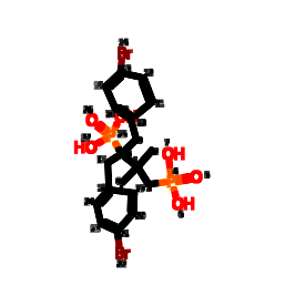 [CH2]C([CH2])(CP(=O)(O)O)C(Cc1ccc(Br)cc1)(Cc1ccc(Br)cc1)P(=O)(O)O